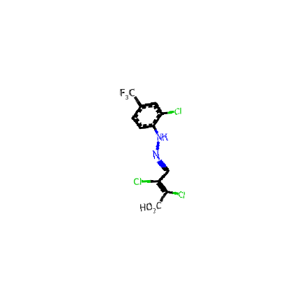 O=C(O)C(Cl)=C(Cl)C=NNc1ccc(C(F)(F)F)cc1Cl